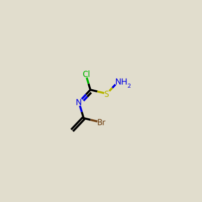 C=C(Br)/N=C(/Cl)SN